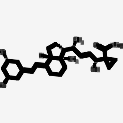 CCCCCCCC(=O)C1([C@H](O)/C=C/[C@@H](C)[C@H]2CC[C@H]3/C(=C/C=C4C[C@@H](O)C[C@H](O)C4)CCC[C@]23C)CC1